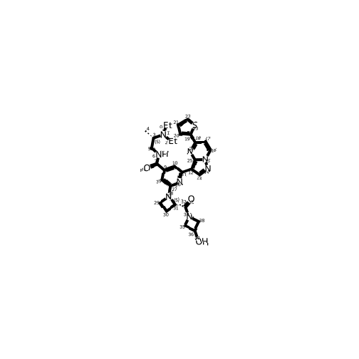 CCN(CC)[C@@H](C)CNC(=O)c1cc(-c2cnn3ccc(-c4cccs4)nc23)nc(N2CC[C@H]2C(=O)N2CC(O)C2)c1